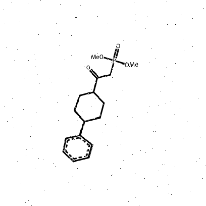 COP(=O)(CC(=O)C1CCC(c2ccccc2)CC1)OC